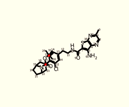 Cc1cnc2c(N)c(C(=O)NCCc3ccc(N4CC5CCC(C4)N5C(=O)OC(C)(C)C)c(Cl)c3)sc2n1